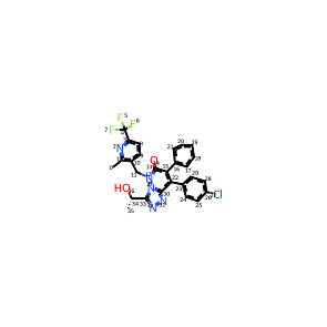 Cc1nc(C(F)(F)F)ccc1Cn1c(=O)c(-c2ccccc2)c(-c2ccc(Cl)cc2)c2nnc([C@H](C)O)n21